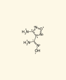 NC(=NO)c1nonc1N